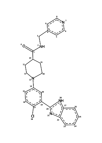 O=C(NCc1ccncc1)C1CCN(c2ccc(Cl)c(-c3nc4ccccc4[nH]3)c2)CC1